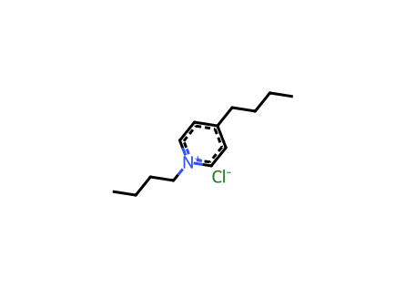 CCCCc1cc[n+](CCCC)cc1.[Cl-]